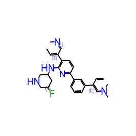 C=C/C(=C\N(C)C)c1cccc(-c2ccc(C(/C=N\C)=C/C)c(NC3CNC[C@@H](F)C3)n2)c1